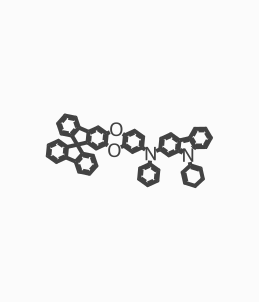 C1=CC(n2c3ccccc3c3ccc(N(c4ccccc4)c4ccc5c(c4)Oc4cc6c(cc4O5)-c4ccccc4C64c5ccccc5-c5ccccc54)cc32)=CCC1